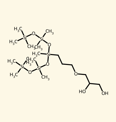 C[Si](C)(C)O[Si](C)(C)O[Si](C)(CCCOCC(O)CO)O[Si](C)(C)O[Si](C)(C)C